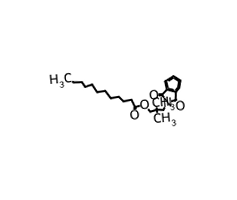 CCCCCCCCCCCC(=O)OCC(C)(C)CN1C(=O)c2ccccc2C1=O